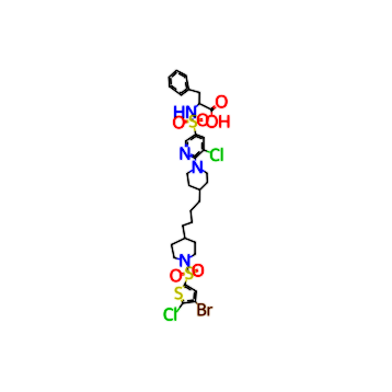 O=C(O)C(Cc1ccccc1)NS(=O)(=O)c1cnc(N2CCC(CCCCC3CCN(S(=O)(=O)c4cc(Br)c(Cl)s4)CC3)CC2)c(Cl)c1